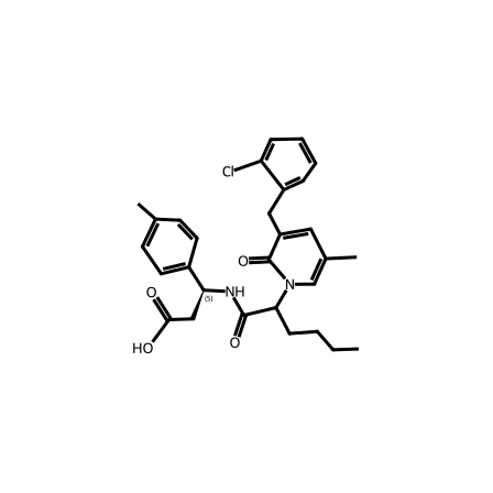 CCCCC(C(=O)N[C@@H](CC(=O)O)c1ccc(C)cc1)n1cc(C)cc(Cc2ccccc2Cl)c1=O